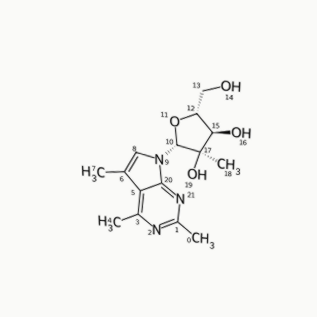 Cc1nc(C)c2c(C)cn([C@@H]3O[C@H](CO)[C@@H](O)[C@@]3(C)O)c2n1